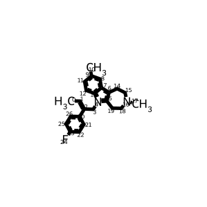 C/C=C(/Cn1c2c(c3cc(C)ccc31)CCN(C)CC2)c1ccc(F)cc1